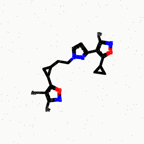 CC(=O)c1c(C(C)C)noc1C1CC1CCn1ccc(-c2c(C(C)C)noc2C2CC2)n1